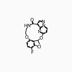 CC1Oc2ccn3ncc(c3n2)C(=O)NCCOc2ccc(F)c(Cl)c21